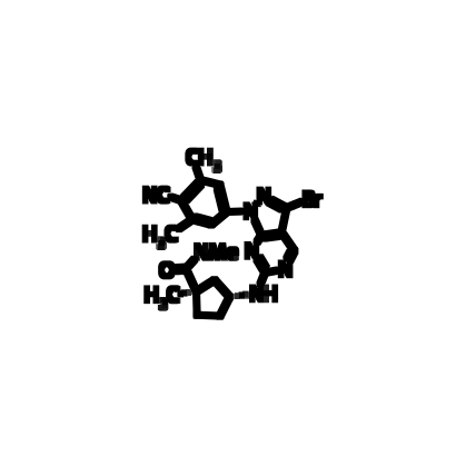 CNC(=O)[C@]1(C)CC[C@@H](Nc2ncc3c(Br)nn(-c4cc(C)c(C#N)c(C)c4)c3n2)C1